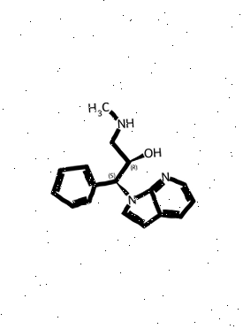 CNC[C@@H](O)[C@H](c1ccccc1)n1ccc2cccnc21